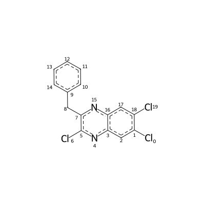 Clc1cc2nc(Cl)c(Cc3ccccc3)nc2cc1Cl